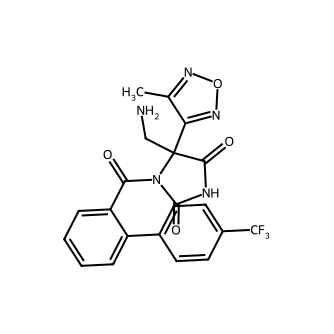 Cc1nonc1C1(CN)C(=O)NC(=O)N1C(=O)c1ccccc1-c1ccc(C(F)(F)F)cc1